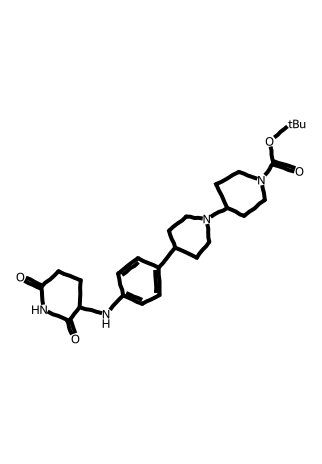 CC(C)(C)OC(=O)N1CCC(N2CCC(c3ccc(NC4CCC(=O)NC4=O)cc3)CC2)CC1